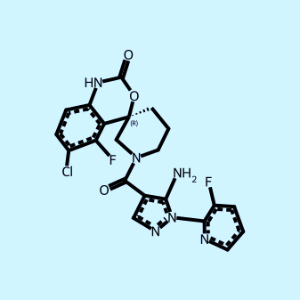 Nc1c(C(=O)N2CCC[C@@]3(C2)OC(=O)Nc2ccc(Cl)c(F)c23)cnn1-c1ncccc1F